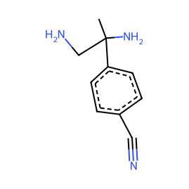 CC(N)(CN)c1ccc(C#N)cc1